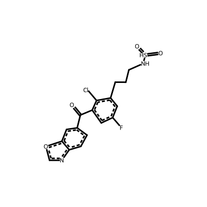 O=C(c1ccc2ncoc2c1)c1cc(F)cc(CCCN[SH](=O)=O)c1Cl